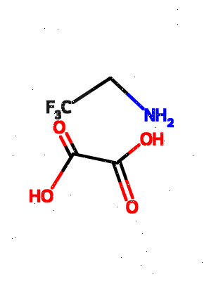 NCC(F)(F)F.O=C(O)C(=O)O